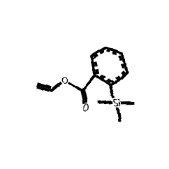 C=COC(=O)c1ccccc1[Si](C)(C)C